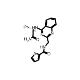 CC(C)[C@H](Nc1nc(CNC(=O)c2cccs2)nc2ccccc12)C(N)=O